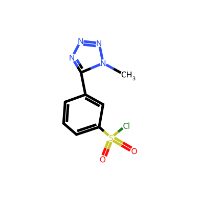 Cn1nnnc1-c1cccc(S(=O)(=O)Cl)c1